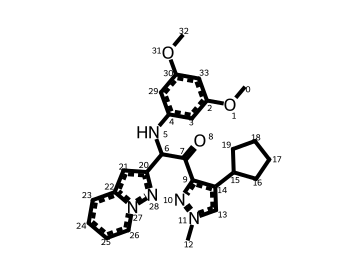 COc1cc(NC(C(=O)c2nn(C)cc2C2CCCC2)c2cc3ccccn3n2)cc(OC)c1